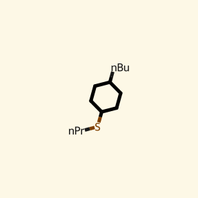 CCCCC1CCC(SCCC)CC1